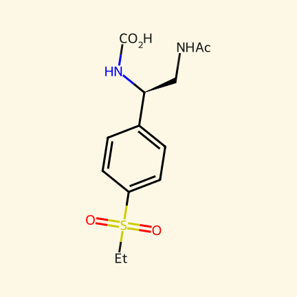 CCS(=O)(=O)c1ccc([C@H](CNC(C)=O)NC(=O)O)cc1